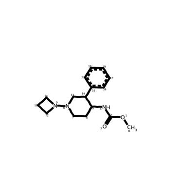 COC(=O)NC1CCN(N2CCC2)CC1c1ccccc1